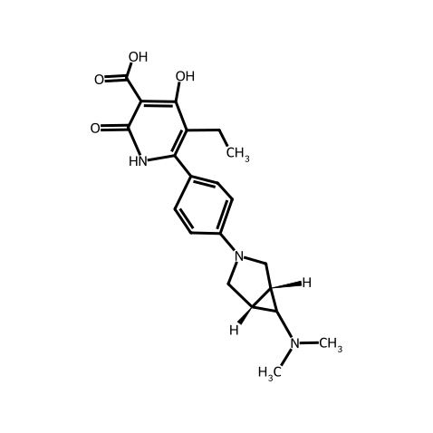 CCc1c(-c2ccc(N3C[C@@H]4C(N(C)C)[C@@H]4C3)cc2)[nH]c(=O)c(C(=O)O)c1O